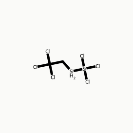 ClC(Cl)(Cl)C[SiH2][Si](Cl)(Cl)Cl